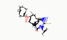 CCn1c(=S)[nH]c2ccc(Oc3ccccc3)cc2c1=O